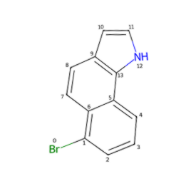 Brc1cccc2c1ccc1cc[nH]c12